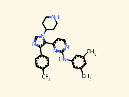 Cc1cc(C)cc(Nc2nccc(-c3c(-c4ccc(C(F)(F)F)cc4)ncn3C3CCNCC3)n2)c1